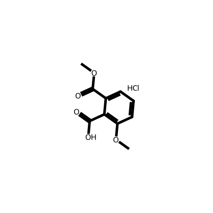 COC(=O)c1cccc(OC)c1C(=O)O.Cl